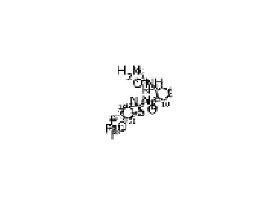 NCC(=O)NCc1ccccc1C(=O)Nc1nc2ccc(OC(F)(F)F)cc2s1